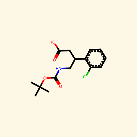 CC(C)(C)OC(=O)NCC(CC(=O)O)c1ccccc1Cl